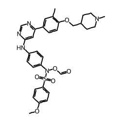 COc1ccc(S(=O)(=O)N(OC=O)c2ccc(Nc3cc(-c4ccc(OCC5CCN(C)CC5)c(C)c4)ncn3)cc2)cc1